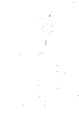 CCC[C@H]1CC[C@H]([C@H]2CC[C@H](C=CC#Cc3ccc(C#N)c(F)c3)CC2)CC1